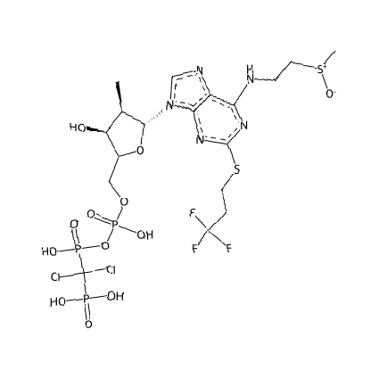 C[C@@H]1[C@H](O)C(COP(=O)(O)OP(=O)(O)C(Cl)(Cl)P(=O)(O)O)O[C@H]1n1cnc2c(NCC[S+](C)[O-])nc(SCCC(F)(F)F)nc21